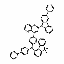 CC1(C)c2ccccc2-c2c(N(c3ccc(-c4ccccc4)cc3)c3ccc(-c4cc(-n5c6ccccc6c6cc(-c7ccccc7)ccc65)nc5cccnc45)cc3)cccc21